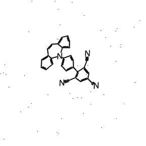 N#Cc1cc(C#N)c(-c2ccc(N3c4ccccc4C=Cc4ccccc43)cc2)c(C#N)c1